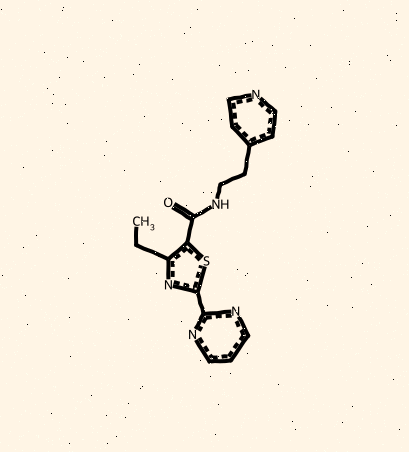 CCc1nc(-c2ncccn2)sc1C(=O)NCCc1ccncc1